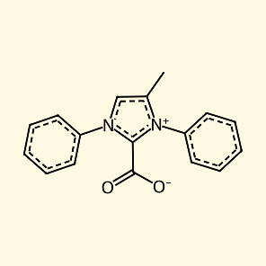 Cc1cn(-c2ccccc2)c(C(=O)[O-])[n+]1-c1ccccc1